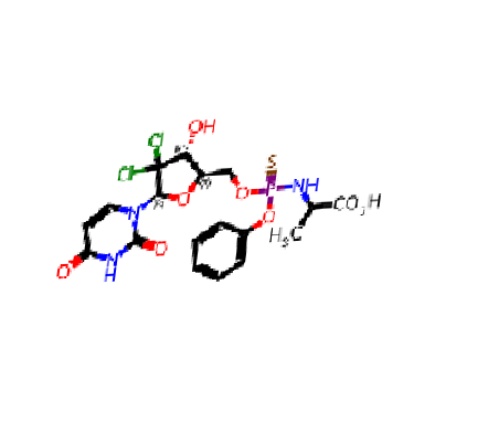 CC(NP(=S)(OC[C@H]1O[C@@H](n2ccc(=O)[nH]c2=O)C(Cl)(Cl)[C@@H]1O)Oc1ccccc1)C(=O)O